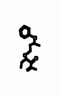 C=C(C)C(=O)C(CC)OCCC(C)Oc1ccccc1